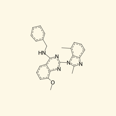 COc1cccc2c(NCc3ccccc3)nc(-n3c(C)nc4cccc(C)c43)nc12